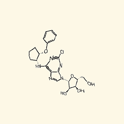 OC[C@H]1O[C@@H](n2cnc3c(N[C@@H]4CCC[C@@H]4Oc4ccccc4)nc(Cl)nc32)[C@H](O)[C@@H]1O